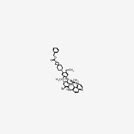 CCc1cc(Nc2ncc(Br)c(Nc3ccc4nccnc4c3NS(C)(=O)=O)n2)c(OC)cc1N1CCC2(CC1)CN(C(=O)OCc1ccccc1)C2